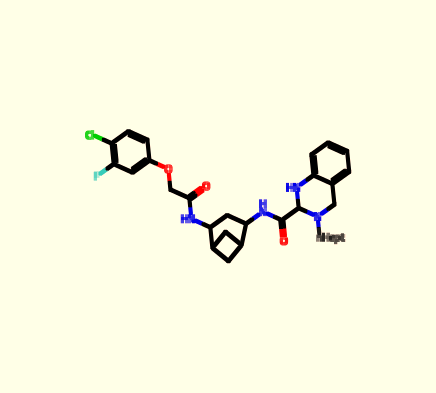 CCCCCCCN1Cc2ccccc2NC1C(=O)NC1CC(NC(=O)COc2ccc(Cl)c(F)c2)C2CC1C2